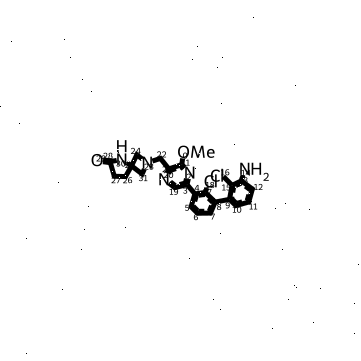 COc1nc(-c2cccc(-c3cccc(N)c3Cl)c2Cl)cnc1CN1CC2(CCC(=O)N2)C1